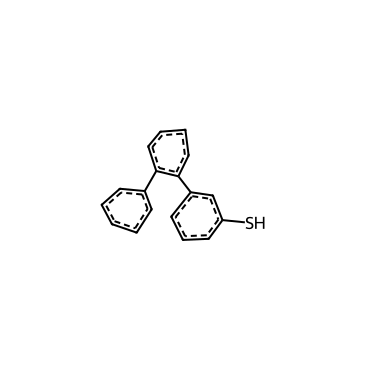 Sc1cccc(-c2ccccc2-c2ccccc2)c1